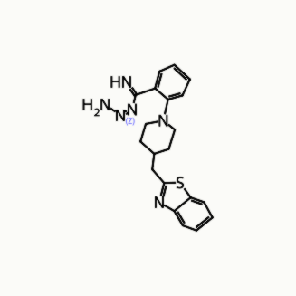 N=C(/N=N\N)c1ccccc1N1CCC(Cc2nc3ccccc3s2)CC1